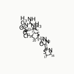 CN1C(=N)N[C@](C)(c2sc(-c3nnc(-c4nccs4)o3)cc2Cl)CS1(=O)=O